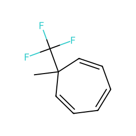 CC1(C(F)(F)F)C=CC=CC=C1